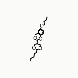 CCCCCC1OCC(C(=O)Oc2ccc(OCCCC)cc2C)CO1